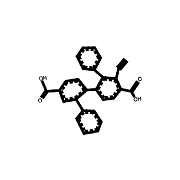 C#Cc1c(C(=O)O)ccc(-c2ccc(C(=O)O)cc2-c2ccccc2)c1-c1ccccc1